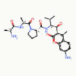 Cc1c(C(=O)[C@@H](NC(=O)[C@@H]2CCCN2C(=O)[C@H](C)NC(=O)[C@H](C)N)C(C)C)c(=O)oc2cc(N)ccc12